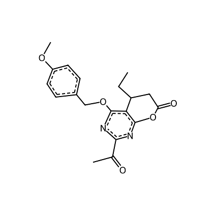 CCC1CC(=O)Oc2nc(C(C)=O)nc(OCc3ccc(OC)cc3)c21